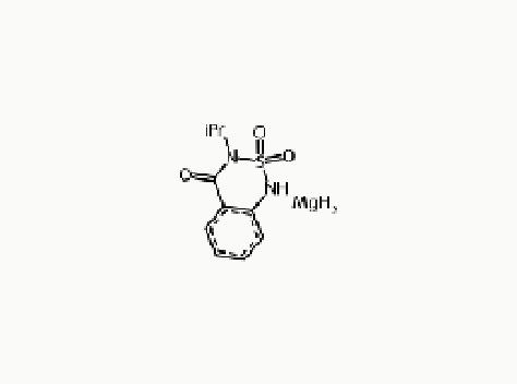 CC(C)N1C(=O)c2ccccc2NS1(=O)=O.[MgH2]